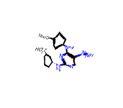 COc1ccc(Nc2nc(N[C@@H]3CC[C@H](C(=O)O)C3)ncc2N=N)cc1